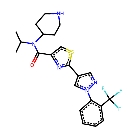 CC(C)N(C(=O)c1csc(-c2cnn(-c3ccccc3C(F)(F)F)c2)n1)C1CCNCC1